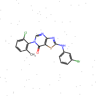 Cc1cccc(Cl)c1-n1cnc2nc(Nc3cccc(Br)c3)sc2c1=O